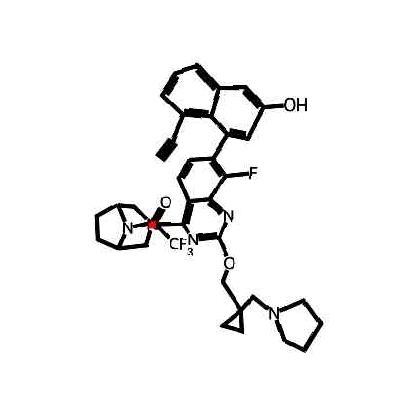 C#Cc1cccc2cc(O)cc(-c3ccc4c(N5CC6CCC(C5)N6C(=O)C(F)(F)F)nc(OCC5(CN6CCCC6)CC5)nc4c3F)c12